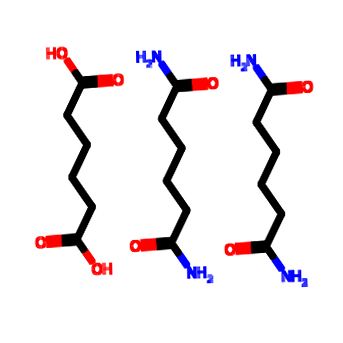 NC(=O)CCCCC(N)=O.NC(=O)CCCCC(N)=O.O=C(O)CCCCC(=O)O